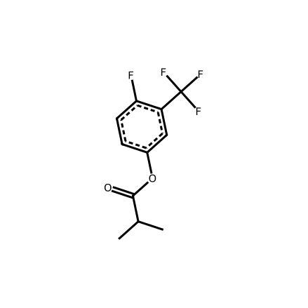 CC(C)C(=O)Oc1ccc(F)c(C(F)(F)F)c1